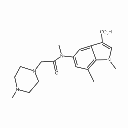 Cc1cc(N(C)C(=O)CN2CCN(C)CC2)cc2c(C(=O)O)cn(C)c12